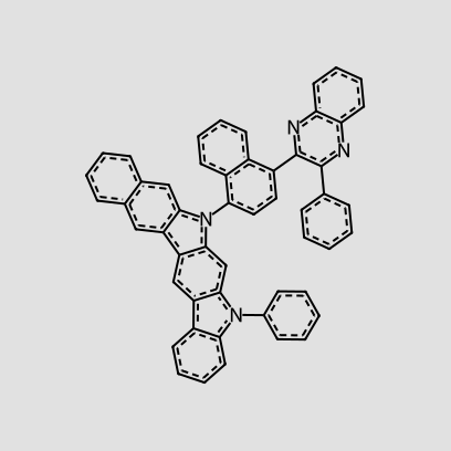 c1ccc(-c2nc3ccccc3nc2-c2ccc(-n3c4cc5ccccc5cc4c4cc5c6ccccc6n(-c6ccccc6)c5cc43)c3ccccc23)cc1